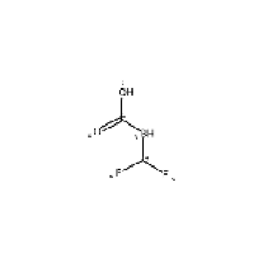 O=C(O)BC(F)F